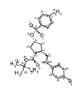 Cc1ccc(S(=O)(=O)O[C@@H]2C[C@@H](CNc3ccc(Br)cc3)N(C(=O)OC(C)(C)C)C2)cc1